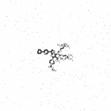 C=C(OCC)c1c(N2CCN(C(=O)OC(C)(C)C)CC2)nc2c(-c3ccc(-c4ccccc4)nc3)cnn2c1N(COCC[Si](C)(C)C)COCC[Si](C)(C)C